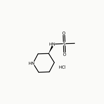 CS(=O)(=O)N[C@H]1CCCNC1.Cl